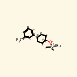 CC(C)(C)[Si](C)(C)O[C@H]1[CH]C[C@H](c2cccc(C(F)(F)F)c2)CC1